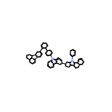 c1ccc(-n2c3cc(-c4ccc5c(c4)c4ccccc4n5-c4ccc(-c5ccccc5-c5ccc6c(c5)-c5cccc7cccc-6c57)cc4)ccc3c3ccc4ccccc4c32)cc1